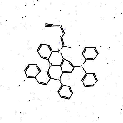 C#C/C=C\C=C(/C)N1c2ccccc2B2c3c1cc(N(c1ccccc1)c1ccccc1)cc3N(c1ccccc1)c1ccc3ccccc3c12